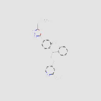 COCc1nnc(-c2ccc(C(CCc3ccnc(C)c3)c3ccccc3C)cc2)o1